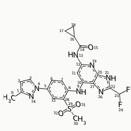 Cc1ccn(-c2ccc(Nc3cc(NC(=O)C4CC4)nc4[nH]c(C(F)F)nc34)c(S(C)(=O)=O)c2)n1